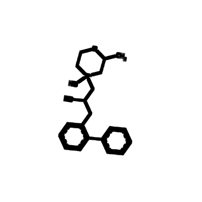 CC1C[N+](O)(CC(O)Cc2ccccc2-c2ccccc2)CCO1